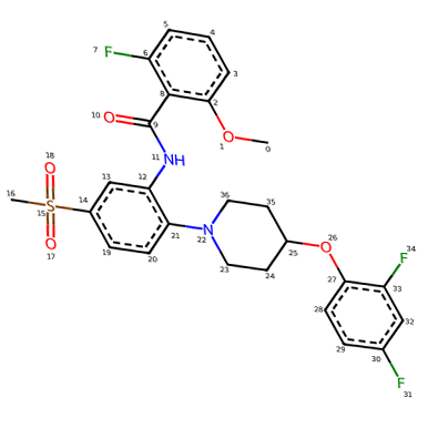 COc1cccc(F)c1C(=O)Nc1cc(S(C)(=O)=O)ccc1N1CCC(Oc2ccc(F)cc2F)CC1